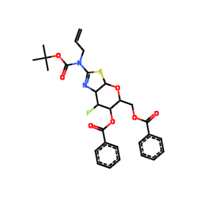 C=CCN(C(=O)OC(C)(C)C)C1=NC2C(OC(COC(=O)c3ccccc3)C(OC(=O)c3ccccc3)C2F)S1